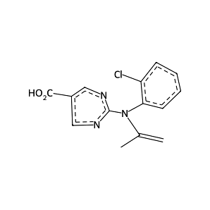 C=C(C)N(c1ncc(C(=O)O)cn1)c1ccccc1Cl